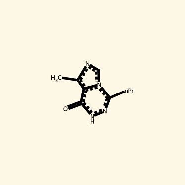 CCCc1n[nH]c(=O)c2c(C)ncn12